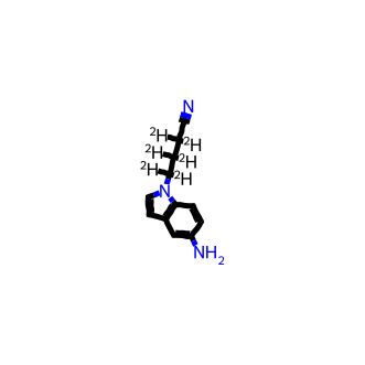 [2H]C([2H])(C#N)C([2H])([2H])C([2H])([2H])n1ccc2cc(N)ccc21